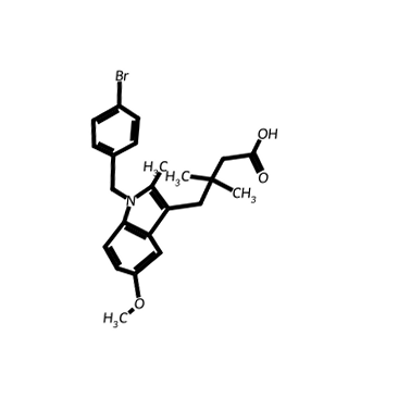 COc1ccc2c(c1)c(CC(C)(C)CC(=O)O)c(C)n2Cc1ccc(Br)cc1